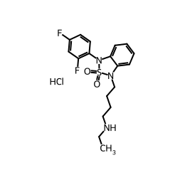 CCNCCCCN1c2ccccc2N(c2ccc(F)cc2F)S1(=O)=O.Cl